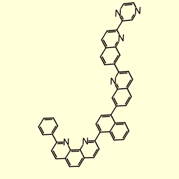 c1ccc(-c2ccc3ccc4ccc(-c5ccc(-c6ccc7ccc(-c8ccc9ccc(-c%10cnccn%10)nc9c8)nc7c6)c6ccccc56)nc4c3n2)cc1